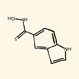 ONC(=S)c1ccc2[nH]ccc2c1